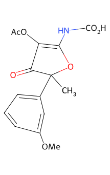 COc1cccc(C2(C)OC(NC(=O)O)=C(OC(C)=O)C2=O)c1